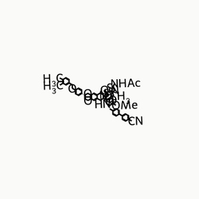 COC(=O)[C@H](Cc1ccc(-c2ccc(C#N)cc2)cc1)NC(=O)C1Cc2cc3c(cc2CN1S(=O)(=O)c1sc(NC(C)=O)nc1C)O[C@@H](c1ccc(OCc2ccc(C)c(C)c2)cc1)CO3